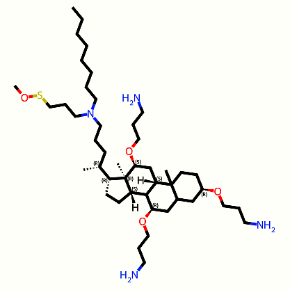 CCCCCCCCN(CCCSOC)CCC[C@@H](C)[C@H]1CC[C@H]2C3[C@H](OCCCN)CC4C[C@H](OCCCN)CCC4(C)[C@H]3C[C@H](OCCCN)[C@]12C